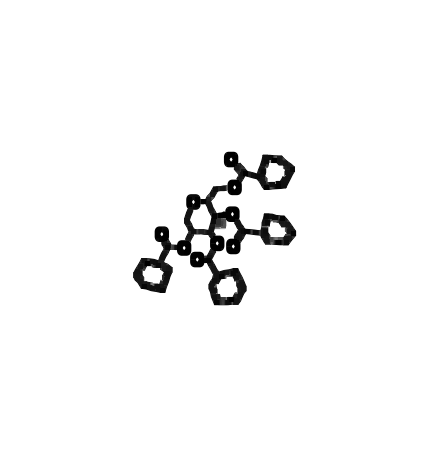 O=C(OCC1OCC(OC(=O)c2ccccc2)C(OC(=O)c2ccccc2)[C@@H]1OC(=O)c1ccccc1)c1ccccc1